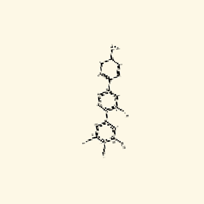 CC(=O)OC1C=CC(c2ccc(-c3cc(F)c(F)c(F)c3)c(F)c2)=CC1